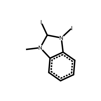 CN1c2ccccc2N(I)C1I